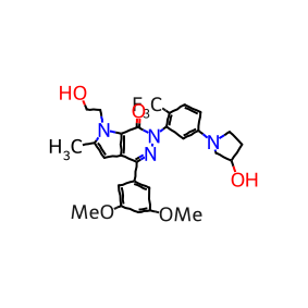 COc1cc(OC)cc(-c2nn(-c3cc(N4CCC(O)C4)ccc3C(F)(F)F)c(=O)c3c2cc(C)n3CCO)c1